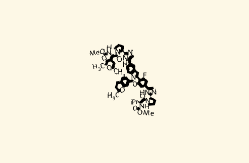 COC(=O)NC(C(=O)N1CCC[C@H]1c1ncc(-c2ccc3c(c2)cc2n3C(c3ccc4c(c3)OC(C)CC4)Oc3cc(-c4cnc([C@@H]5CCCN5C(=O)[C@@H](NC(=O)OC)C(C)C)[nH]4)cc(F)c3-2)[nH]1)C1C[C@@H](C)O[C@@H](C)C1